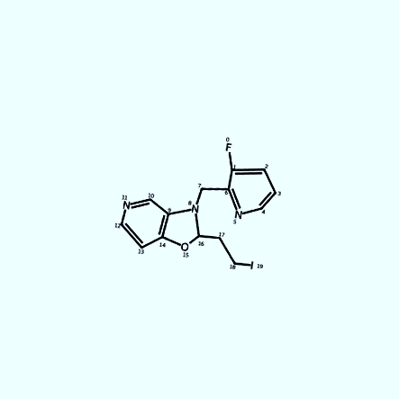 Fc1cccnc1CN1c2cnccc2OC1CCI